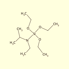 CCO[Si](OCC)(OCC)N(CC)C(C)C